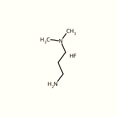 CN(C)CCCN.F